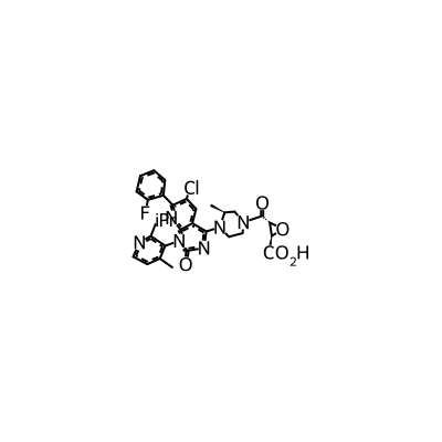 Cc1ccnc(C(C)C)c1-n1c(=O)nc(N2CCN(C(=O)[C@@H]3O[C@H]3C(=O)O)C[C@@H]2C)c2cc(Cl)c(-c3ccccc3F)nc21